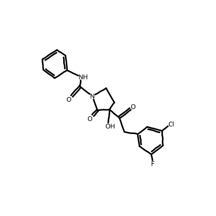 O=C(Nc1ccccc1)N1CCC(O)(C(=O)Cc2cc(F)cc(Cl)c2)C1=O